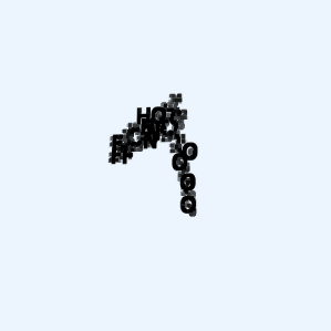 COCCOCCOC(=O)CCc1cc(-n2nc3ccc(C(F)(F)F)cc3n2)c(O)c(C(C)(C)C)c1